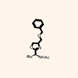 CC[C@H](C)[C@H](NC(C)=O)C1=NC(COCc2ccccc2)CO1